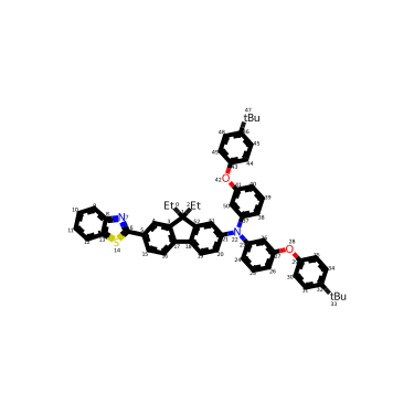 CCC1(CC)c2cc(-c3nc4ccccc4s3)ccc2-c2ccc(N(c3cccc(Oc4ccc(C(C)(C)C)cc4)c3)c3cccc(Oc4ccc(C(C)(C)C)cc4)c3)cc21